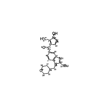 Cc1c([S+]([O-])c2ccc3c(c2)nc(C(C)(C)C)n3CC2CCOCC2)cnn1O